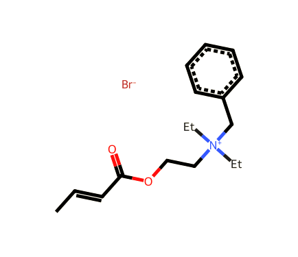 CC=CC(=O)OCC[N+](CC)(CC)Cc1ccccc1.[Br-]